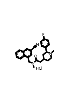 CN(Cc1cc(C#N)cc2ccccc12)C(=O)CC1CCN(C)C(c2ccc(F)cc2)C1.Cl